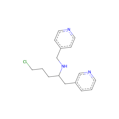 ClCCCC(Cc1cccnc1)NCc1ccncc1